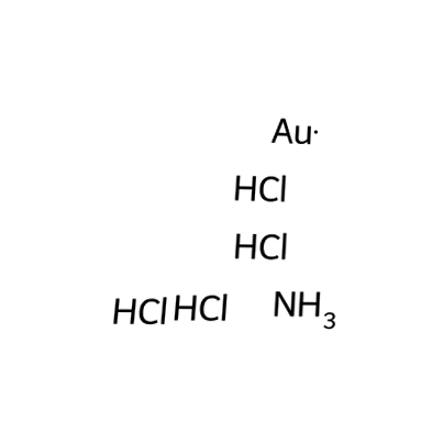 Cl.Cl.Cl.Cl.N.[Au]